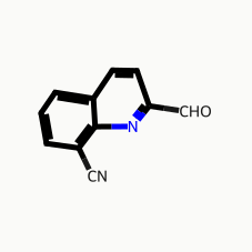 N#Cc1cccc2ccc(C=O)nc12